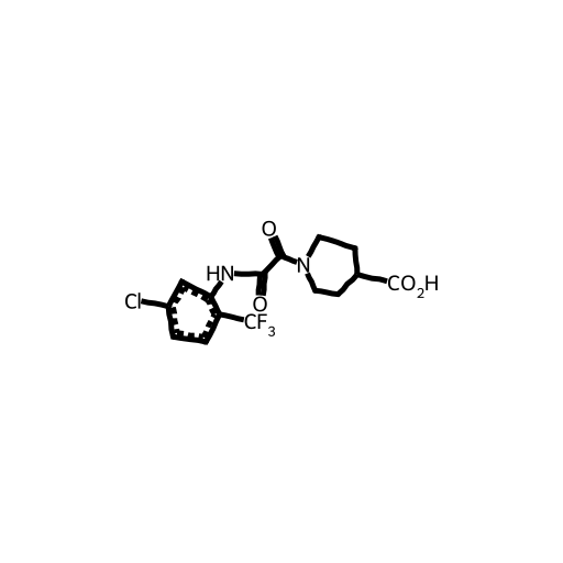 O=C(Nc1cc(Cl)ccc1C(F)(F)F)C(=O)N1CCC(C(=O)O)CC1